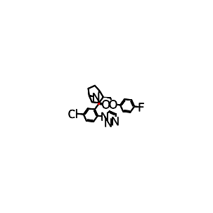 O=C(c1cc(Cl)ccc1-n1ccnn1)N1C2CCC1[C@@H](COc1ccc(F)cc1)CC2